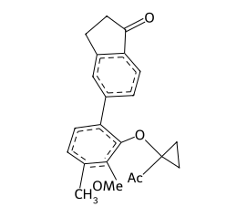 COc1c(C)ccc(-c2ccc3c(c2)CCC3=O)c1OC1(C(C)=O)CC1